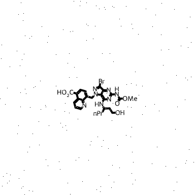 CCCC(CCO)Nc1nc(NC(=O)OC)nc2c(Br)nn(Cc3ccc(C(=O)O)c4cccnc34)c12